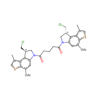 CC(=O)Oc1cc2c(c3c(C)csc13)[C@@H](CCl)CN2C(=O)CCCC(=O)N1C[C@H](CCl)c2c1cc(OC(C)=O)c1scc(C)c21